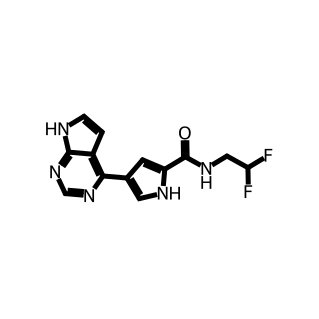 O=C(NCC(F)F)c1cc(-c2ncnc3[nH]ccc23)c[nH]1